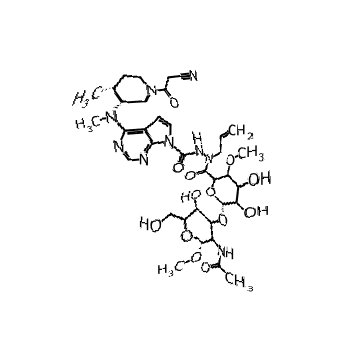 C=CCN(NC(=O)n1ccc2c(N(C)[C@H]3CN(C(=O)CC#N)CC[C@H]3C)ncnc21)C(=O)C1O[C@@H](OC2C(NC(C)=O)[C@H](OC)OC(CO)[C@H]2O)C(O)C(O)[C@@H]1OC